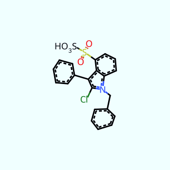 O=S(=O)(O)S(=O)(=O)c1cccc2c1c(-c1ccccc1)c(Cl)n2Cc1ccccc1